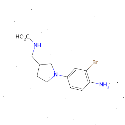 Nc1ccc(N2CCC(CNC(=O)O)C2)cc1Br